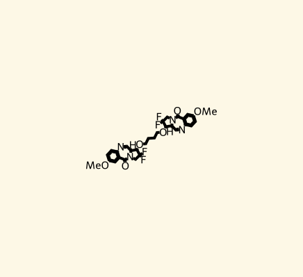 COc1ccc2c(c1)C(=O)N1CC(F)(F)C(OCCCCOC3[C@@H]4C=Nc5ccc(OC)cc5C(=O)N4CC3(F)F)[C@@H]1C=N2